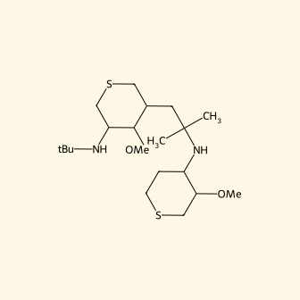 COC1CSCCC1NC(C)(C)CC1CSCC(NC(C)(C)C)C1OC